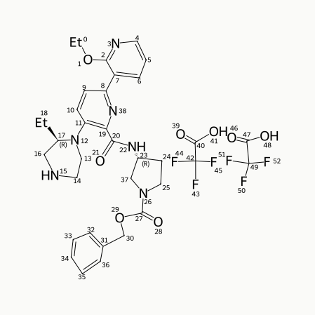 CCOc1ncccc1-c1ccc(N2CCNC[C@H]2CC)c(C(=O)N[C@@H]2CCN(C(=O)OCc3ccccc3)C2)n1.O=C(O)C(F)(F)F.O=C(O)C(F)(F)F